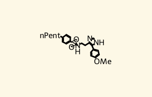 CCCCCc1ccc(S(=O)(=O)NCCc2nc[nH]c2-c2ccc(OC)cc2)cc1